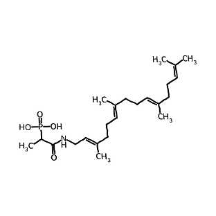 CC(C)=CCCC(C)=CCCC(C)=CCCC(C)=CCNC(=O)C(C)P(=O)(O)O